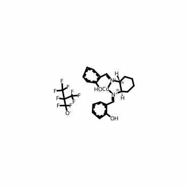 Oc1ccccc1C=[N+]1[Co][N+](=Cc2ccccc2O)[C@@H]2CCCC[C@H]21.[O-]C(F)(F)C(F)(C(F)(F)F)C(F)(F)F